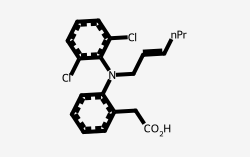 CCC/C=C/CN(c1ccccc1CC(=O)O)c1c(Cl)cccc1Cl